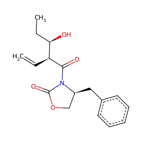 C=C[C@H](C(=O)N1C(=O)OC[C@@H]1Cc1ccccc1)[C@H](O)CC